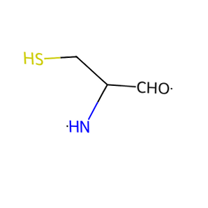 [NH]C([C]=O)CS